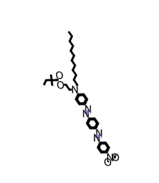 CCCCCCCCCCCCN(CCOC(=O)C(C)(C)CC)c1ccc(/N=N/c2ccc(/N=N/c3ccc([N+](=O)[O-])cc3)cc2)cc1